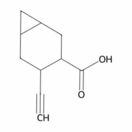 C#CC1CC2CC2CC1C(=O)O